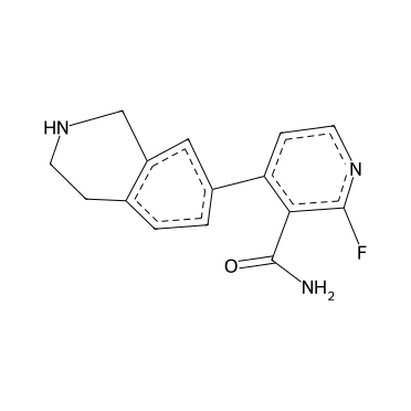 NC(=O)c1c(-c2ccc3c(c2)CNCC3)ccnc1F